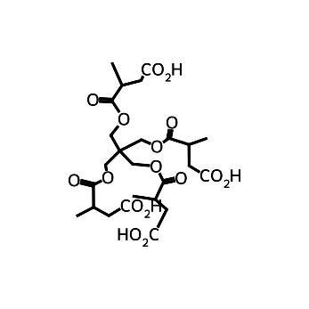 CC(CC(=O)O)C(=O)OCC(COC(=O)C(C)CC(=O)O)(COC(=O)C(C)CC(=O)O)COC(=O)C(C)CC(=O)O